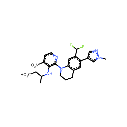 CC(CC(=O)O)Nc1c([N+](=O)[O-])ccnc1N1CCCc2cc(-c3cnn(C)c3)c(C(F)F)cc21